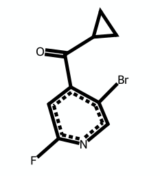 O=C(c1cc(F)ncc1Br)C1CC1